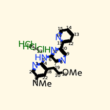 CNc1cnc(Nc2cncc(-c3ccccn3)n2)c(CCOC)c1.Cl.Cl.Cl